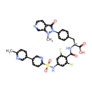 Cc1ccc(-c2ccc(S(=O)(=O)Nc3cc(F)c(C(=O)N[C@@H](Cc4ccc(-n5c(=O)c6ccncc6n5C)cc4)C(=O)O)c(F)c3)nc2)cn1